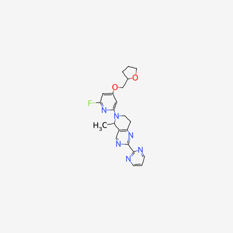 CC1c2cnc(-c3ncccn3)nc2CCN1c1cc(OCC2CCCO2)cc(F)n1